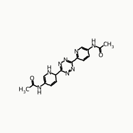 CC(=O)NC1=CNC(c2nnc(-c3ccc(NC(C)=O)cn3)nn2)C=C1